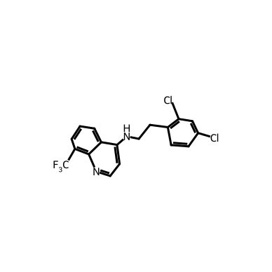 FC(F)(F)c1cccc2c(NCCc3ccc(Cl)cc3Cl)ccnc12